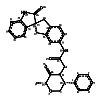 C[C@H]1OC[C@@H](c2ccccc2)N(CC(=O)Nc2ccc3c(c2)C[C@@]2(C3)C(=O)Nc3ncccc32)C1=O